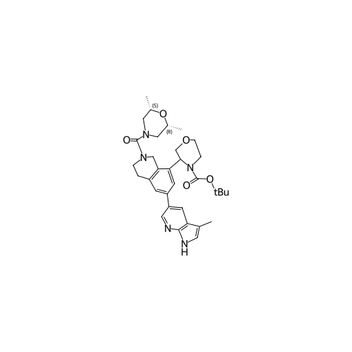 Cc1c[nH]c2ncc(-c3cc4c(c(C5COCCN5C(=O)OC(C)(C)C)c3)CN(C(=O)N3C[C@@H](C)O[C@@H](C)C3)CC4)cc12